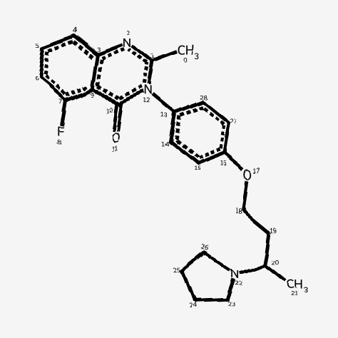 Cc1nc2cccc(F)c2c(=O)n1-c1ccc(OCCC(C)N2CCCC2)cc1